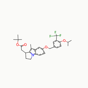 Cc1c2n(c3ccc(OCc4ccc(OC(C)C)c(C(F)(F)F)c4)cc13)CCC2CC(=O)OC(C)(C)C